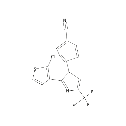 N#Cc1ccc(-n2cc(C(F)(F)F)nc2-c2ccsc2Cl)cc1